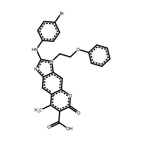 Cc1c(C(=O)O)c(=O)oc2cc3c(cc12)nc(Nc1ccc(Br)cc1)n3CCOc1ccccc1